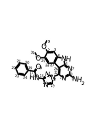 COc1cc2[nH]c3nc(N)nc(-n4cnc(NC(=O)c5ccccc5)n4)c3c2cc1OC